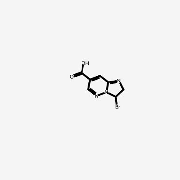 O=C(O)C1=CC2=NCC(Br)N2N=C1